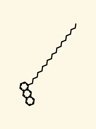 CCCCCCCCCCCCCCCCCCCCc1cccc2cc3ccccc3cc12